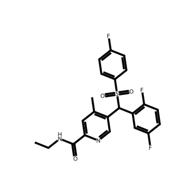 CCNC(=O)c1cc(C)c(C(c2cc(F)ccc2F)S(=O)(=O)c2ccc(F)cc2)cn1